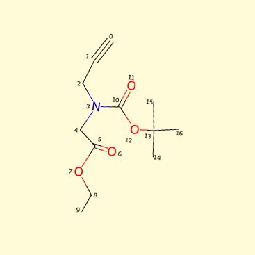 C#CCN(CC(=O)OCC)C(=O)OC(C)(C)C